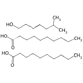 CC(C)CCCCCO.CCCCCCCCCC(=O)O.CCCCCCCCCC(=O)O